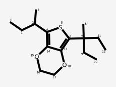 CCC(C)c1sc(C(C)(CC)CC)c2c1OCCO2